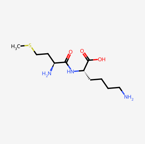 CSCC[C@H](N)C(=O)N[C@@H](CCCCN)C(=O)O